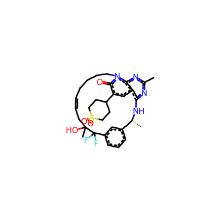 Cc1nc2c3cc(C4CCS(=O)(=O)CC4)c(=O)n(c3n1)CCCC/C=C\CC(C)(O)C(F)(F)c1cccc(c1)[C@@H](C)N2